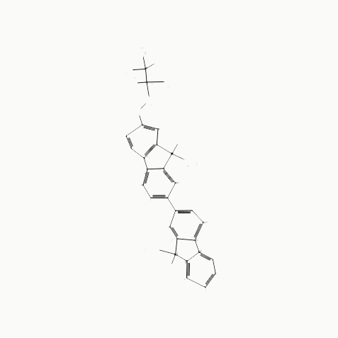 CCCCCCCCC1(CCCCCCCC)c2ccccc2-c2ccc(-c3ccc4c(c3)C(C)(C)c3cc(BOC(C)(C)C(C)(C)O)ccc3-4)cc21